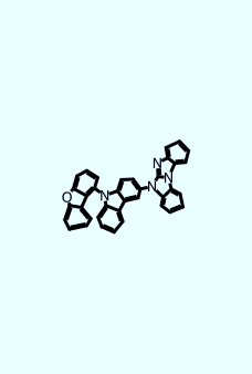 c1ccc2c(c1)nc1n(-c3ccc4c(c3)c3ccccc3n4-c3cccc4oc5ccccc5c34)c3ccccc3n21